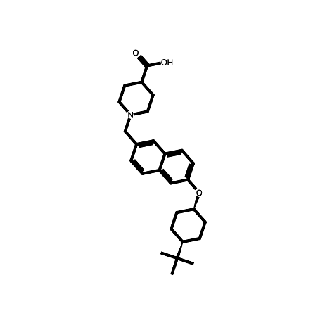 CC(C)(C)[C@H]1CC[C@@H](Oc2ccc3cc(CN4CCC(C(=O)O)CC4)ccc3c2)CC1